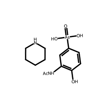 C1CCNCC1.CC(=O)Nc1cc([As](=O)(O)O)ccc1O